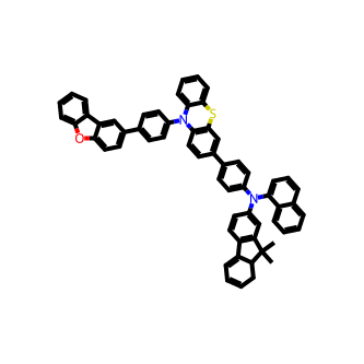 CC1(C)c2cc(N(c3ccc(-c4ccc5c(c4)Sc4ccccc4N5c4ccc(-c5ccc6oc7ccccc7c6c5)cc4)cc3)c3cccc4ccccc34)ccc2C2=CC=CCC21